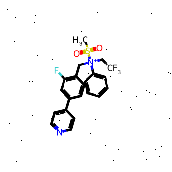 CS(=O)(=O)[N+](Cc1ccc(-c2ccncc2)cc1F)(CC(F)(F)F)c1ccccc1